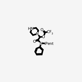 CCCC(C)N(C(=O)C(OC(=O)C(F)(F)F)N1CCNCC1)c1ccccc1